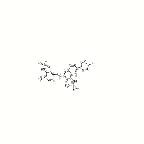 CS(=O)(=O)Nc1cc(CNc2nc(NC3(C(F)(F)F)CC3)c3nc(-c4ccc(F)cc4)ccc3n2)ccc1C(F)(F)F